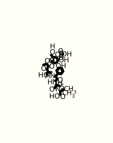 CC1(C)S[C@@H]2[C@H](NC(=O)C(NCC(O)C3OCC(O)C3OC3OC(CO)C(OS(=O)(=O)O)C(O)C3O)c3ccccc3)C(=O)N2C1C(=O)O